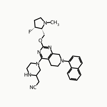 CN1CC[C@@H](F)[C@H]1COc1nc2c(c(N3CCNC(CC#N)C3)n1)CCN(c1cccc3ccccc13)C2